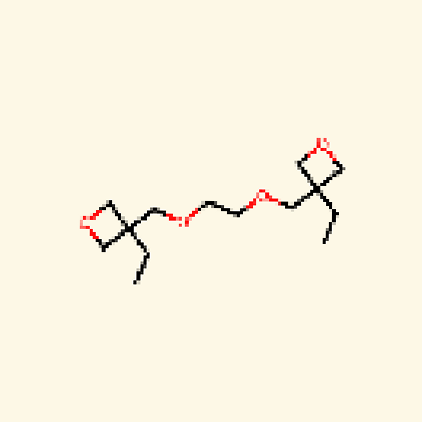 CCC1(COCCOCC2(CC)COC2)COC1